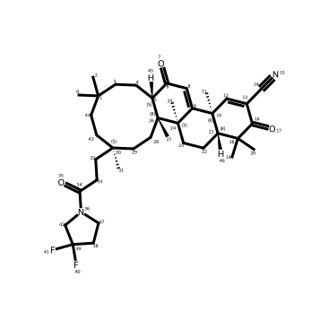 CC1(C)CC[C@@H]2C(=O)C=C3[C@@]4(C)C=C(C#N)C(=O)C(C)(C)[C@@H]4CC[C@@]3(C)[C@]2(C)CC[C@@](C)(CCC(=O)N2CCC(F)(F)C2)CC1